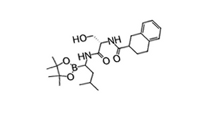 CC(C)CC(NC(=O)[C@H](CO)NC(=O)C1CCc2ccccc2C1)B1OC(C)(C)C(C)(C)O1